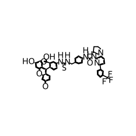 O=C(O)c1cc(NC(=S)NCc2ccc(NC(=O)N3c4nc(-c5cccc(C(F)(F)F)c5)ccc4N4CCC[C@@H]3C4)cc2)ccc1-c1c2ccc(=O)cc-2oc2cc(O)ccc12